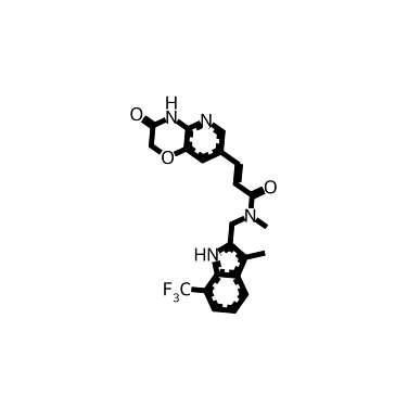 Cc1c(CN(C)C(=O)C=Cc2cnc3c(c2)OCC(=O)N3)[nH]c2c(C(F)(F)F)cccc12